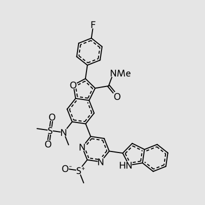 CNC(=O)c1c(-c2ccc(F)cc2)oc2cc(N(C)S(C)(=O)=O)c(-c3cc(-c4cc5ccccc5[nH]4)nc([S+](C)[O-])n3)cc12